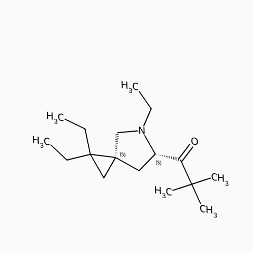 CCN1C[C@]2(C[C@H]1C(=O)C(C)(C)C)CC2(CC)CC